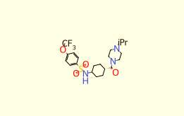 CC(C)N1CCN(C(=O)[C@H]2CC[C@H](NS(=O)(=O)c3ccc(OC(F)(F)F)cc3)CC2)CC1